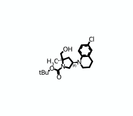 CC(C)(C)OC(=O)N1C[C@H](N2CCCc3cc(Cl)ccc32)C[C@]1(C)CO